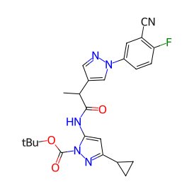 CC(C(=O)Nc1cc(C2CC2)nn1C(=O)OC(C)(C)C)c1cnn(-c2ccc(F)c(C#N)c2)c1